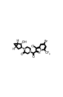 O=C(c1nn2c(C(F)(F)F)cc(Br)cc2c1Cl)N1CCN([C@H]2C[C@@H]3C[C@@H]3[C@@H]2O)C(=O)C1